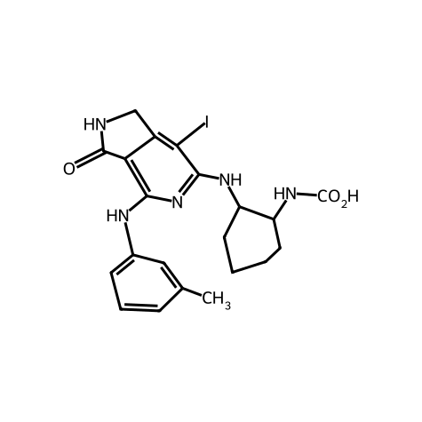 Cc1cccc(Nc2nc(NC3CCCCC3NC(=O)O)c(I)c3c2C(=O)NC3)c1